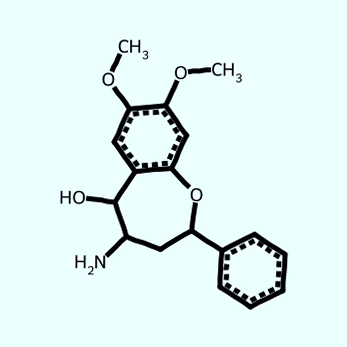 COc1cc2c(cc1OC)C(O)C(N)CC(c1ccccc1)O2